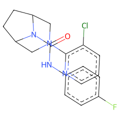 O=C(Nc1ccc(F)cc1)N1C2CCC1CN(c1ncccc1Cl)C2